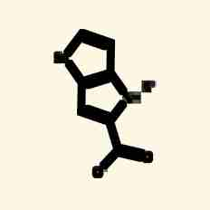 O=C([O-])c1cc2[se]ccc2[nH]1.[K+]